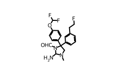 CN1CC(c2ccc(OC(F)F)cc2)(c2cccc(CCF)c2)N(C=O)C1N